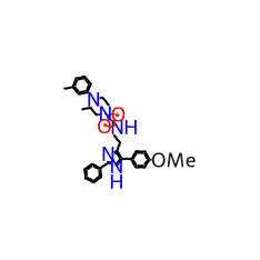 COc1ccc(-c2[nH]c(-c3ccccc3)nc2CCNS(=O)(=O)N2CCN(c3cccc(C)c3)C(C)C2)cc1